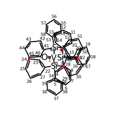 [O]=[V]([Si](c1ccccc1)(c1ccccc1)c1ccccc1)([Si](c1ccccc1)(c1ccccc1)c1ccccc1)[Si](c1ccccc1)(c1ccccc1)c1ccccc1